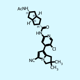 CC(=O)N[C@H]1C[C@@H]2C[C@@H](C(=O)Nc3cc(-c4cc(C#N)n5c4CC(C)(C)C5)c(Cl)cn3)C[C@@H]2C1